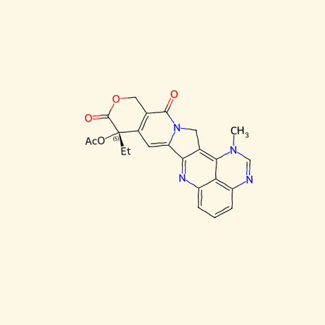 CC[C@@]1(OC(C)=O)C(=O)OCc2c1cc1n(c2=O)Cc2c-1nc1cccc3c1c2N(C)C=N3